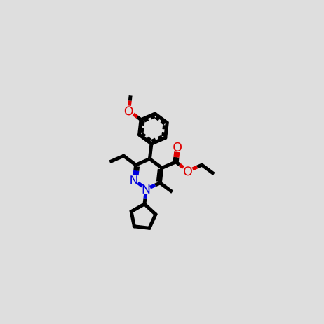 CCOC(=O)C1=C(C)N(C2CCCC2)N=C(CC)C1c1cccc(OC)c1